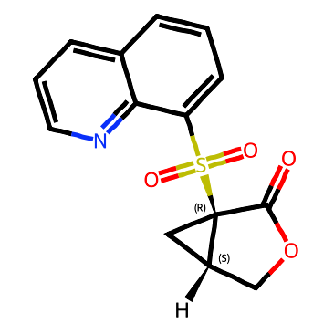 O=C1OC[C@@H]2C[C@]12S(=O)(=O)c1cccc2cccnc12